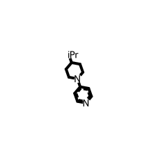 CC(C)C1CCN(c2ccncc2)CC1